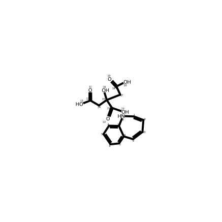 C1=CNc2ccccc2C=C1.O=C(O)CC(O)(CC(=O)O)C(=O)O